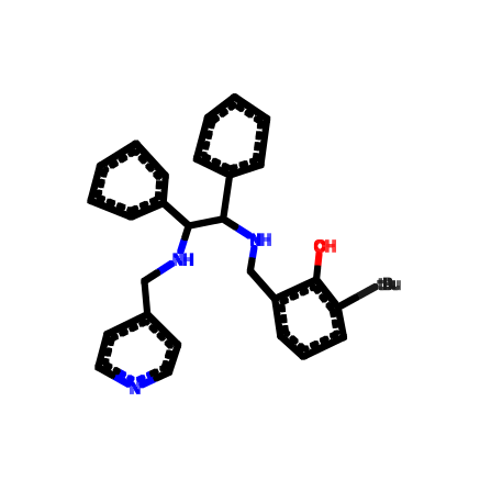 CC(C)(C)c1cccc(CNC(c2ccccc2)C(NCc2ccncc2)c2ccccc2)c1O